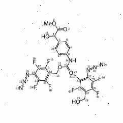 COC(=O)C(O)c1ccc(NC(=O)OCc2c(F)c(F)c(N=[N+]=[N-])c(F)c2F)cc1.[N-]=[N+]=Nc1c(F)c(F)c(CO)c(F)c1F